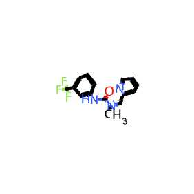 CN(Cc1ccccn1)C(=O)Nc1cccc(C(F)(F)F)c1